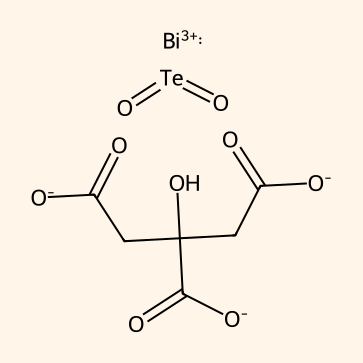 O=C([O-])CC(O)(CC(=O)[O-])C(=O)[O-].O=[Te]=O.[Bi+3]